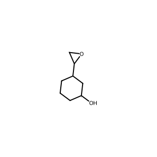 O[C]1CCCC(C2CO2)C1